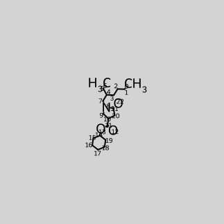 CCCCC(CC)CN1CC(C(=O)OC2CCCCC2)CC1=O